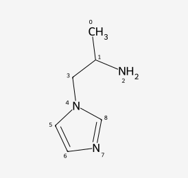 CC(N)Cn1ccnc1